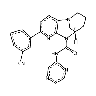 N#Cc1cccc(-c2ccc3c(n2)N(C(=O)Nc2cnccn2)[C@H]2CCCN3C2)c1